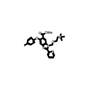 COC(=O)c1cc2c(cc1Oc1ccc(I)cc1)nc(-c1ccccn1)n2COCC[Si](C)(C)C